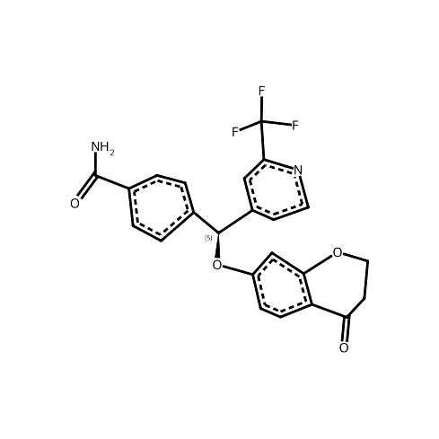 NC(=O)c1ccc([C@H](Oc2ccc3c(c2)OCCC3=O)c2ccnc(C(F)(F)F)c2)cc1